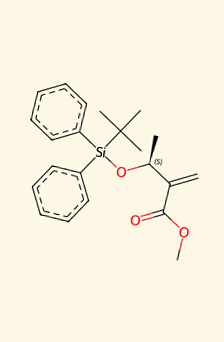 C=C(C(=O)OC)[C@H](C)O[Si](c1ccccc1)(c1ccccc1)C(C)(C)C